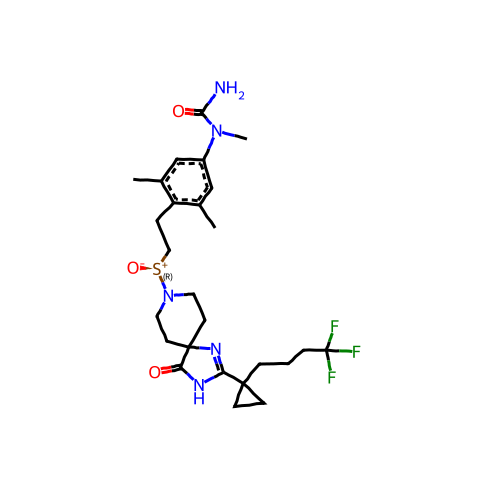 Cc1cc(N(C)C(N)=O)cc(C)c1CC[S@+]([O-])N1CCC2(CC1)N=C(C1(CCCC(F)(F)F)CC1)NC2=O